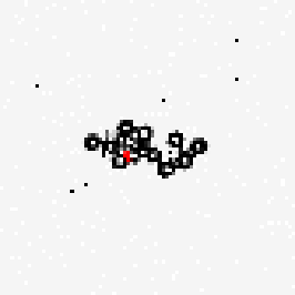 c1ccc(-c2nc(-c3ccccc3)nc(-c3cccc4c3sc3c(-n5c6ccccc6c6cc(-c7cccc8c7sc7c8ccc8c9ccccc9n(-c9ccccc9)c87)ccc65)cccc34)n2)cc1